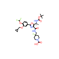 C[C@H](NC(=O)OC(C)(C)C)c1oc(-c2ccc(OC(F)F)c(OCC3CC3)c2)nc1C(=O)NCC1(F)CCN(C(=O)O)CC1